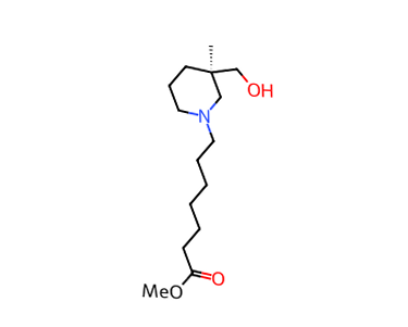 COC(=O)CCCCCCN1CCC[C@@](C)(CO)C1